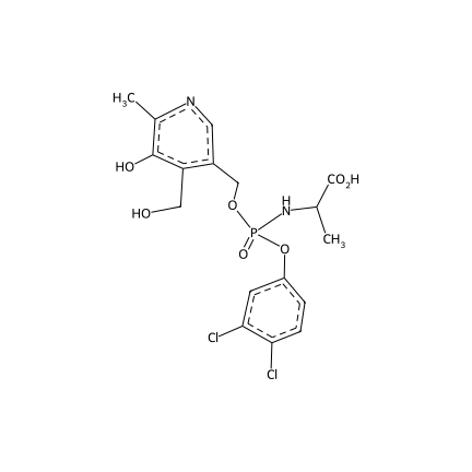 Cc1ncc(COP(=O)(NC(C)C(=O)O)Oc2ccc(Cl)c(Cl)c2)c(CO)c1O